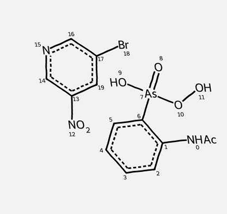 CC(=O)Nc1ccccc1[As](=O)(O)OO.O=[N+]([O-])c1cncc(Br)c1